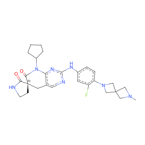 CN1CC2(C1)CN(c1ccc(Nc3ncc4c(n3)N(C3CCCC3)C(=O)[C@]3(CCNC3=O)C4)cc1F)C2